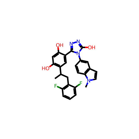 CC(Cc1c(F)cccc1F)c1cc(-c2nnc(O)n2-c2ccc3c(ccn3C)c2)c(O)cc1O